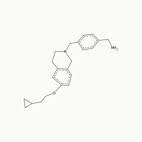 NCc1ccc(CN2CCc3cc(OCCC4CC4)ccc3C2)cc1